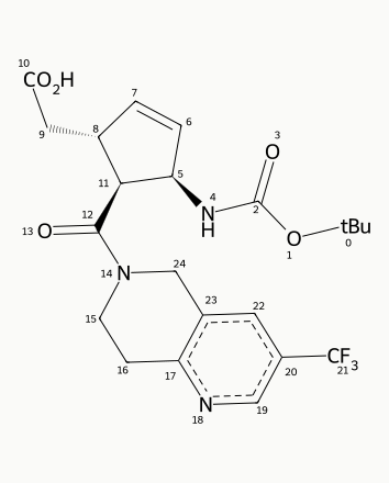 CC(C)(C)OC(=O)N[C@@H]1C=C[C@@H](CC(=O)O)[C@@H]1C(=O)N1CCc2ncc(C(F)(F)F)cc2C1